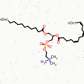 CCCCCCCC/C=C\C/C=C\C/C=C\CCCC(=O)O[C@H](COC(=O)CCCCCCCCCCCCCCCCCCC)COP(=O)([O-])OCC[N+](C)(C)C